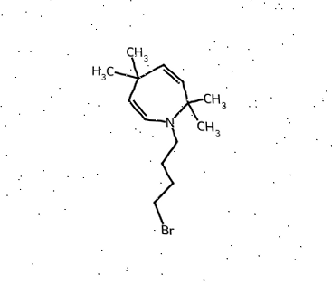 CC1(C)C=CN(CCCCBr)C(C)(C)C=C1